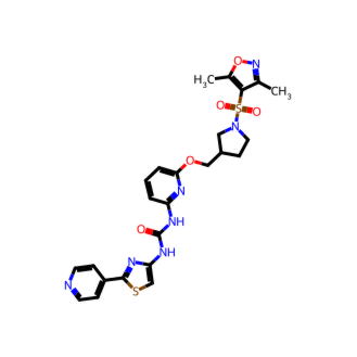 Cc1noc(C)c1S(=O)(=O)N1CCC(COc2cccc(NC(=O)Nc3csc(-c4ccncc4)n3)n2)C1